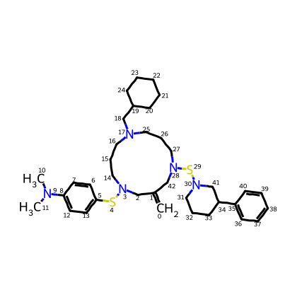 C=C1CN(Sc2ccc(N(C)C)cc2)CCCN(CC2CCCCC2)CCCN(SN2CCCC(c3ccccc3)C2)C1